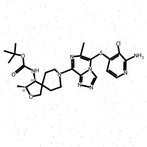 Cc1nc(N2CCC3(CC2)CO[C@@H](C)[C@H]3NC(=O)OC(C)(C)C)c2nncn2c1Sc1ccnc(N)c1Cl